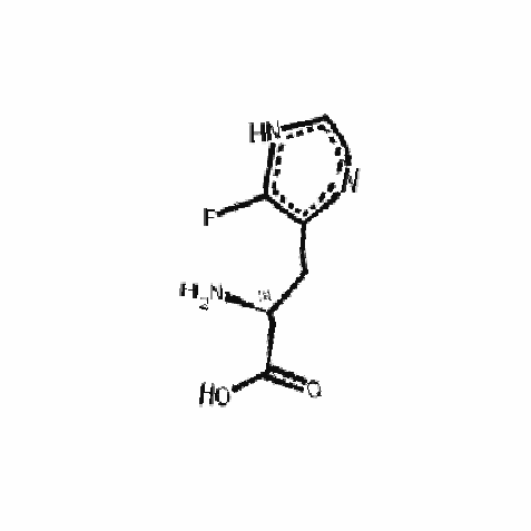 N[C@@H](Cc1nc[nH]c1F)C(=O)O